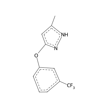 Cc1cc(Oc2cccc(C(F)(F)F)c2)n[nH]1